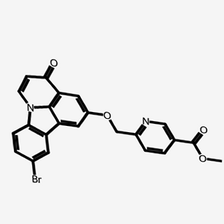 COC(=O)c1ccc(COc2cc3c(=O)ccn4c5ccc(Br)cc5c(c2)c34)nc1